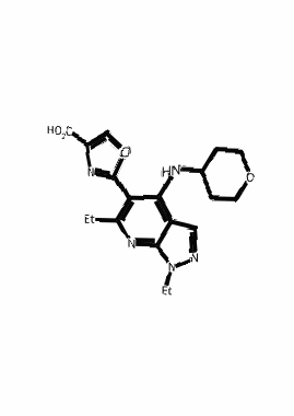 CCc1nc2c(cnn2CC)c(NC2CCOCC2)c1-c1nc(C(=O)O)co1